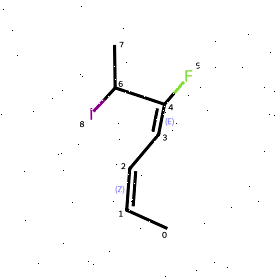 C/C=C\C=C(\F)C(C)I